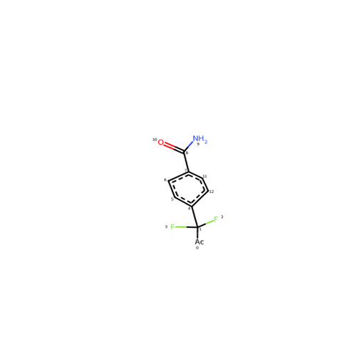 CC(=O)C(F)(F)c1ccc(C(N)=O)cc1